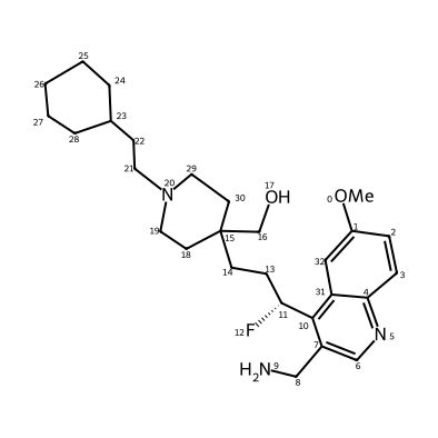 COc1ccc2ncc(CN)c([C@H](F)CCC3(CO)CCN(CCC4CCCCC4)CC3)c2c1